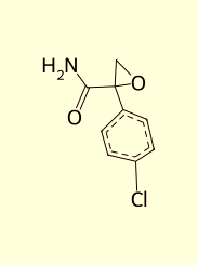 NC(=O)C1(c2ccc(Cl)cc2)CO1